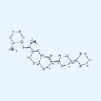 CC(CC1CCCCC1N)C1CCC2CCC(C3CCC(C4CCCCC4)CC3)=CC2C1